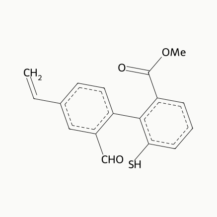 C=Cc1ccc(-c2c(S)cccc2C(=O)OC)c(C=O)c1